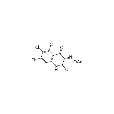 CC(=O)ON=C1C(=O)Nc2cc(Cl)c(Cl)c(Cl)c2C1=O